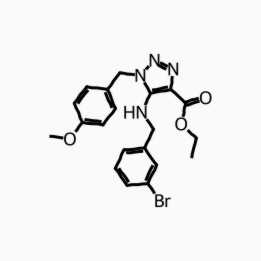 CCOC(=O)c1nnn(Cc2ccc(OC)cc2)c1NCc1cccc(Br)c1